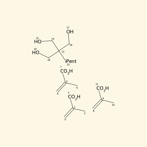 C=C(C)C(=O)O.C=C(C)C(=O)O.C=C(C)C(=O)O.CCCC(C)C(CO)(CO)CO